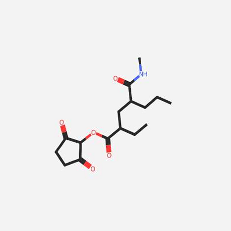 CCCC(CC(CC)C(=O)OC1C(=O)CCC1=O)C(=O)NC